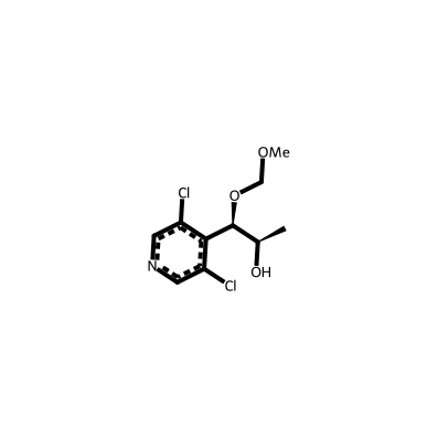 COCO[C@H](c1c(Cl)cncc1Cl)[C@@H](C)O